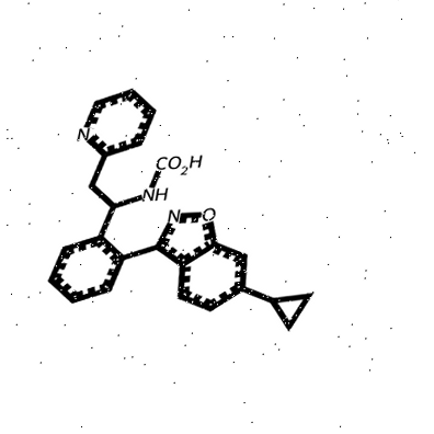 O=C(O)NC(Cc1ccccn1)c1ccccc1-c1noc2cc(C3CC3)ccc12